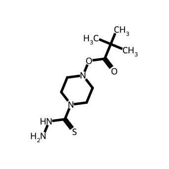 CC(C)(C)C(=O)ON1CCN(C(=S)NN)CC1